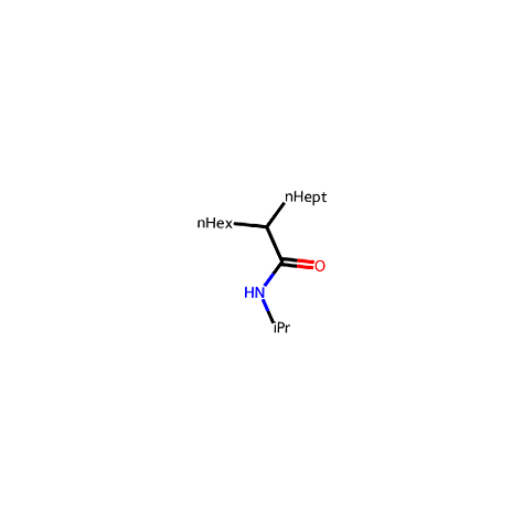 CCCCCCCC(CCCCCC)C(=O)NC(C)C